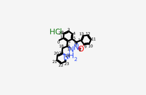 Cc1cccc(-c2noc3ccccc23)c1C(N)Cc1ccccn1.Cl